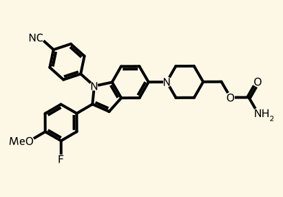 COc1ccc(-c2cc3cc(N4CCC(COC(N)=O)CC4)ccc3n2-c2ccc(C#N)cc2)cc1F